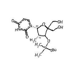 C[C@H]1C(O[Si](C)(C)C(C)(C)C)C(CO)(CO)O[C@H]1n1ccc(=O)[nH]c1=O